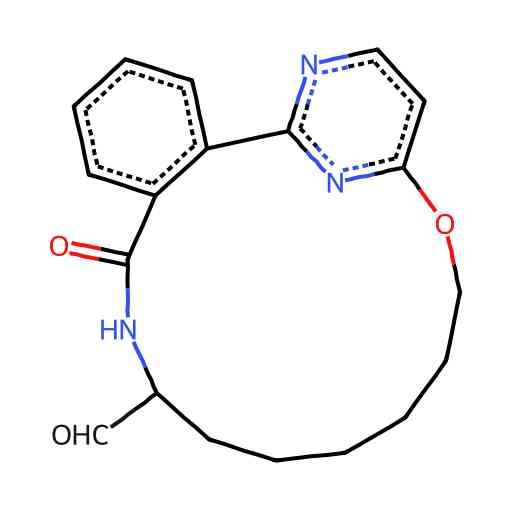 O=CC1CCCCCCOc2ccnc(n2)-c2ccccc2C(=O)N1